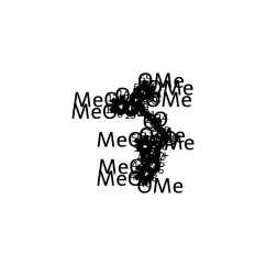 COc1cc(CC2c3c(cc(OC)c(OC)c3OC)CC[N+]2(C)CCCOC(=O)CCC(=O)OCCC[N+]2(C)CCc3cc(OC)c(OC)c(OC)c3C2Cc2cc(OC)c(OC)c(OC)c2)cc(OC)c1OC